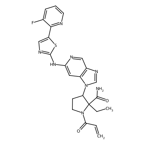 C=CC(=O)N1CCC(n2cnc3cnc(Nc4ncc(-c5ncccc5F)s4)cc32)C1(CC)C(N)=O